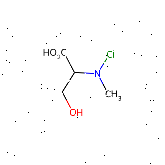 CN(Cl)C(CO)C(=O)O